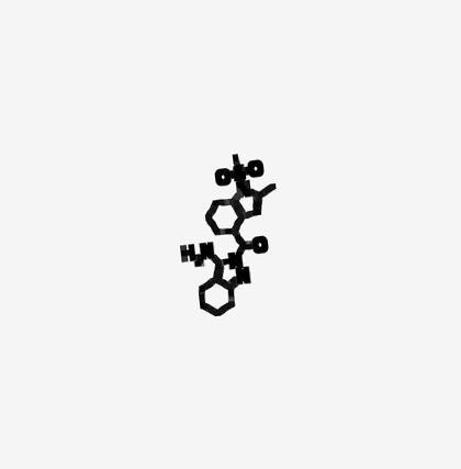 Cc1cc2c(n1S(C)(=O)=O)CCCC2C(=O)n1nc2c(c1N)CCCC2